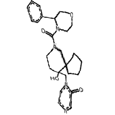 O=C(N1CCC(O)(Cn2ccncc2=O)C2(CCCC2)C1)N1CCOCC1c1ccccc1